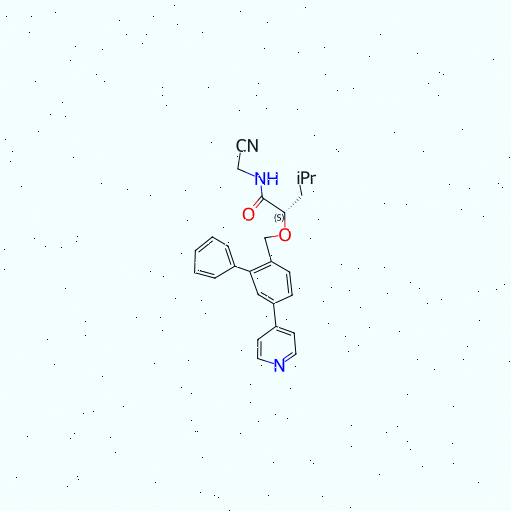 CC(C)C[C@H](OCc1ccc(-c2ccncc2)cc1-c1ccccc1)C(=O)NCC#N